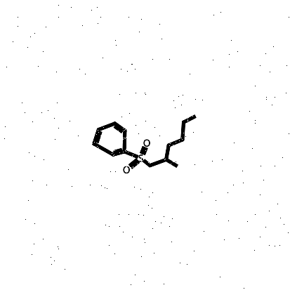 CCCCC(C)CS(=O)(=O)c1ccccc1